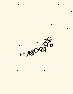 CC(=O)c1c(C)c2cnc(Nc3ccc(N4CCN(S(=O)(=O)N[C@H](C(=O)O)C(C)C)CC4)cn3)nc2n(C2CCCC2)c1=O